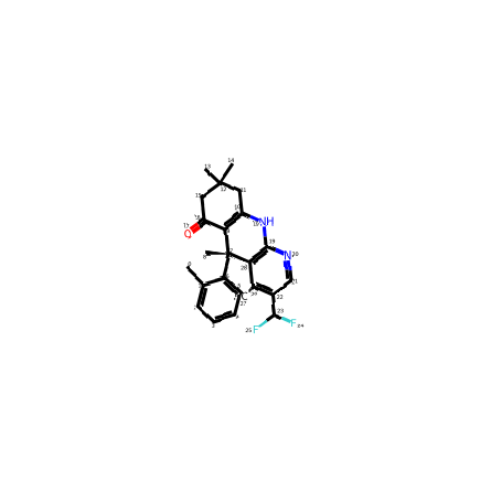 Cc1ccccc1[C@]1(C)C2=C(CC(C)(C)CC2=O)Nc2ncc(C(F)F)c(C#N)c21